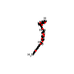 NCCOCCOCCOCCOCCC(=O)NCc1cnc(N2CCN(c3ncc(C(=O)NCCCCn4nc(-c5cnc6[nH]ccc6c5)c5c(N)ncnc54)cn3)CC2)nc1